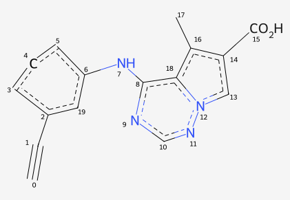 C#Cc1cccc(Nc2ncnn3cc(C(=O)O)c(C)c23)c1